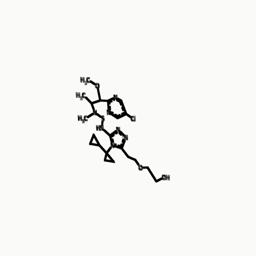 COC(c1ncc(Cl)cn1)C(C)N(C)SNc1nnc(CCOCCO)n1C1(C2CC2)CC1